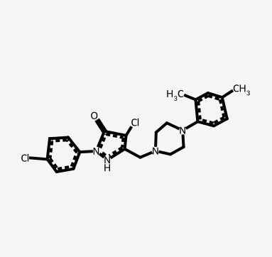 Cc1ccc(N2CCN(Cc3[nH]n(-c4ccc(Cl)cc4)c(=O)c3Cl)CC2)c(C)c1